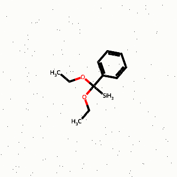 CCOC([SiH3])(OCC)c1ccccc1